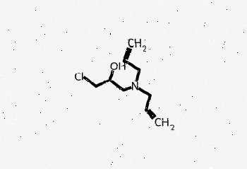 C=CCN(CC=C)CC(O)CCl